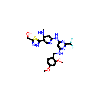 CNc1cc(Nc2cc(NCc3ccc(OC)cc3OC)nc(C(F)F)n2)ncc1-c1nnc(CO)s1